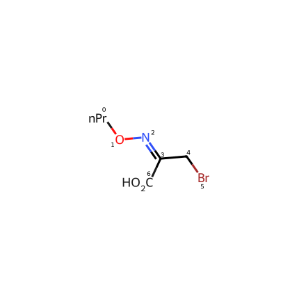 CCCO/N=C(/CBr)C(=O)O